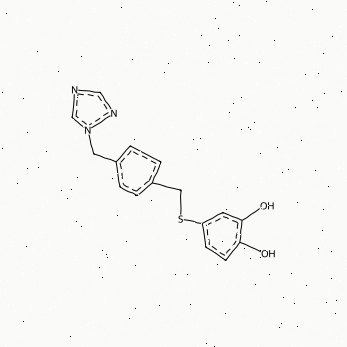 Oc1ccc(SCc2ccc(Cn3cncn3)cc2)cc1O